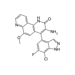 COc1cc2c(-c3cc(F)c(Cl)c4[nH]ncc34)c(N)c(=O)[nH]c2c2cccnc12